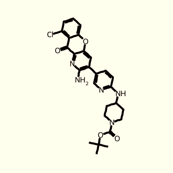 CC(C)(C)OC(=O)N1CCC(Nc2ccc(-c3cc4oc5cccc(Cl)c5c(=O)c4nc3N)cn2)CC1